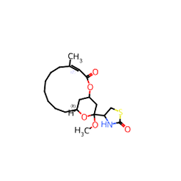 COC1(C2CSC(=O)N2)CC2C[C@@H](CCCCCCC/C(C)=C\C(=O)O2)O1